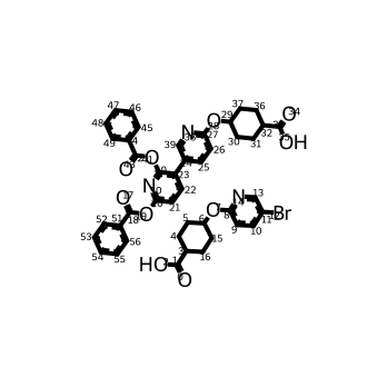 O=C(O)C1CCC(Oc2ccc(Br)cn2)CC1.O=C(Oc1ccc(-c2ccc(OC3CCC(C(=O)O)CC3)nc2)c(OC(=O)c2ccccc2)n1)c1ccccc1